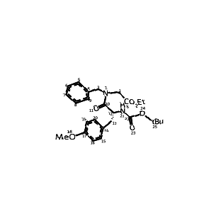 CCOC(=O)CN(Cc1ccccc1)C(=O)[C@@H](Cc1ccc(OC)cc1)NC(=O)OC(C)(C)C